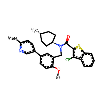 CCOc1ccc(-c2ccc(NC)nc2)cc1CN(C(=O)c1sc2ccccc2c1Cl)[C@H]1CC[C@H](C)CC1